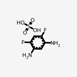 Nc1cc(N)c(F)cc1F.O=S(=O)(O)O